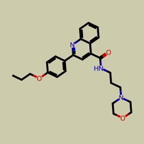 CCCOc1ccc(-c2cc(C(=O)NCCCN3CCOCC3)c3ccccc3n2)cc1